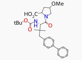 COC1CC(C(=O)O)N(C(=O)[C@@H](NC(=O)OC(C)(C)C)C(C)(C)Cc2ccc(-c3ccccc3)cc2)C1